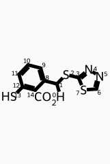 O=C(O)C(Sc1nncs1)c1cccc(S)c1